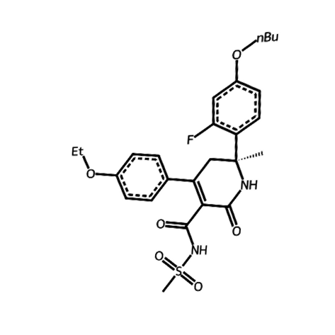 CCCCOc1ccc([C@]2(C)CC(c3ccc(OCC)cc3)=C(C(=O)NS(C)(=O)=O)C(=O)N2)c(F)c1